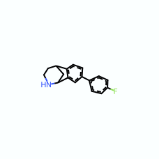 Fc1ccc(-c2ccc3c(c2)C2CC3CCN2)cc1